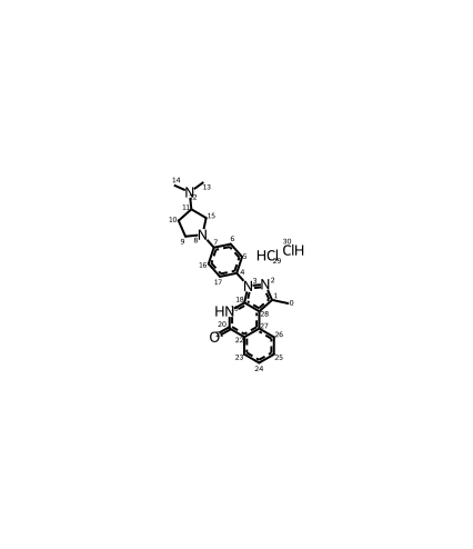 Cc1nn(-c2ccc(N3CCC(N(C)C)C3)cc2)c2[nH]c(=O)c3ccccc3c12.Cl.Cl